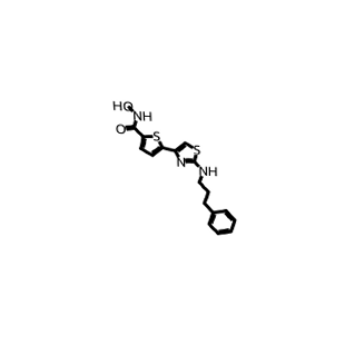 O=C(NO)c1ccc(-c2csc(NCCCc3ccccc3)n2)s1